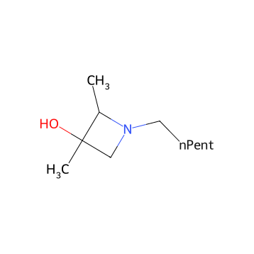 CCCCCCN1CC(C)(O)C1C